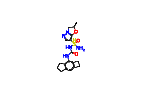 C[C@@H]1Cn2ncc([SH](N)(=O)NC(=O)Nc3c4c(cc5c3CC5)CCC4)c2O1